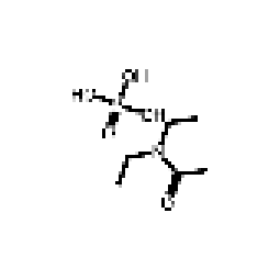 CCN(CC)C(C)=O.O=P(O)(O)O